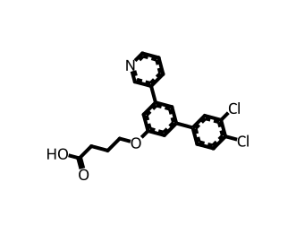 O=C(O)CCCOc1cc(-c2cccnc2)cc(-c2ccc(Cl)c(Cl)c2)c1